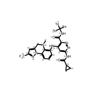 [2H]C([2H])([2H])NC(=O)c1nnc(NC(=O)C2CC2)cc1Nc1cccc2c1N(C)Cc1cc(C(F)(F)F)nn1-2